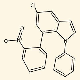 O=[N+]([O-])c1ccccc1-c1cc(Cl)cc2ccn(-c3ccccc3)c12